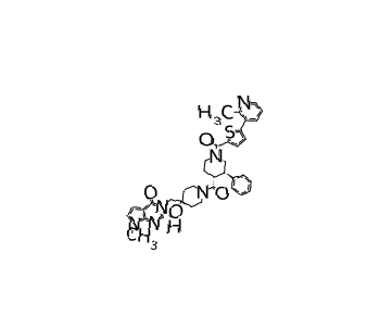 Cc1ncccc1-c1ccc(C(=O)N2CC[C@@H](C(=O)N3CCC(O)(Cn4cnc5c(ccn5C)c4=O)CC3)[C@H](c3ccccc3)C2)s1